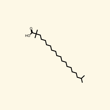 CC(C)CCCCCCCCCCCCCCCCC(C)(C)C(=O)O